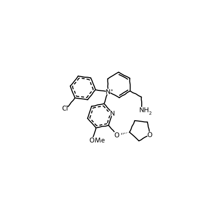 COc1ccc([N+]2(c3cccc(Cl)c3)C=C(CN)C=CC2)nc1O[C@@H]1CCOC1